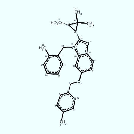 Cc1ccc(COc2ccc3nc([C@@H]4[C@H](C(=O)O)C4(C)C)n(Cc4ccccc4C)c3c2)nc1